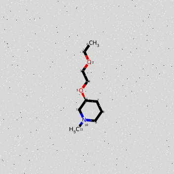 CCOCCO[C@H]1CCCN(C)C1